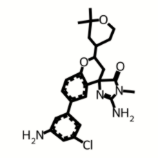 CN1C(=O)C2(CC(C3CCOC(C)(C)C3)Oc3ccc(-c4cc(N)cc(Cl)c4)cc32)N=C1N